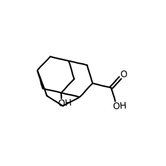 O=C(O)C1CC2CC3CCC1C(O)(C3)C2